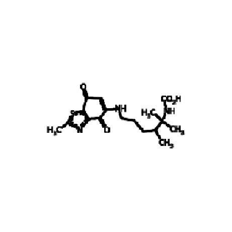 Cc1nc2c(s1)C(=O)C=C(NCCCC(C)C(C)(C)NC(=O)O)C2=O